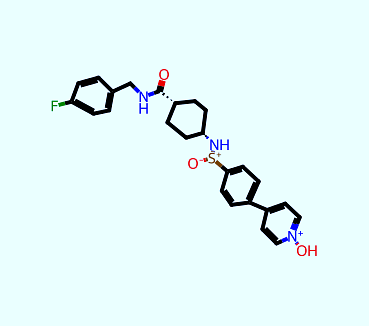 O=C(NCc1ccc(F)cc1)[C@H]1CC[C@@H](N[S+]([O-])c2ccc(-c3cc[n+](O)cc3)cc2)CC1